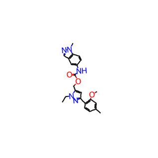 CCn1nc(-c2ccc(C)cc2OC)cc1COC(=O)Nc1ccc2c(cnn2C)c1